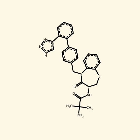 CC(C)(N)C(=O)N[C@@H]1CSc2ccccc2N(Cc2ccc(-c3ccccc3-c3c[nH]nn3)cc2)C1=O